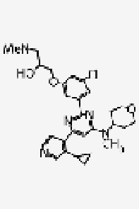 CNCC(O)COc1cc(Cl)cc(-c2nc(-c3ccncc3C3CC3)cc(N(C)C3CCOCC3)n2)c1